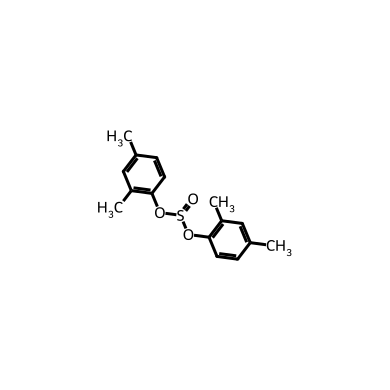 Cc1ccc(OS(=O)Oc2ccc(C)cc2C)c(C)c1